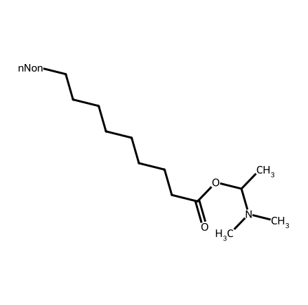 CCCCCCCCCCCCCCCCCC(=O)OC(C)N(C)C